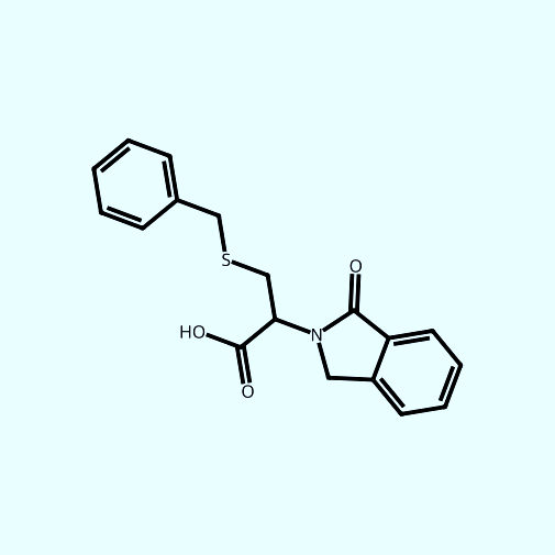 O=C(O)C(CSCc1ccccc1)N1Cc2ccccc2C1=O